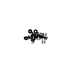 CC(C)CNC(=O)[C@H](C)C[C@H](O)[C@H](CC1CCCCC1)NC(=O)[C@H](Cc1cscn1)NC(=O)[C@@H](CC(=O)N(C)Cc1ccccc1)Cc1ccccc1